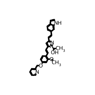 COc1cc(OCc2ccccn2)ccc1/C=C/c1cc(/C=C/c2ccc3cc[nH]c3c2)nn1C(C)O